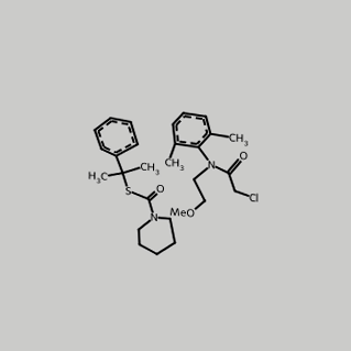 CC(C)(SC(=O)N1CCCCC1)c1ccccc1.COCCN(C(=O)CCl)c1c(C)cccc1C